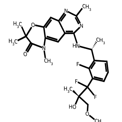 COC[C@](C)(O)C(F)(F)c1cccc([C@@H](C)Nc2nc(C)nc3cc4c(cc23)N(C)C(=O)C(C)(C)O4)c1F